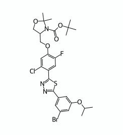 CC(C)Oc1cc(Br)cc(-c2nnc(-c3cc(F)c(OCC4COC(C)(C)N4C(=O)OC(C)(C)C)cc3Cl)s2)c1